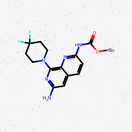 CC(C)(C)OC(=O)Nc1ccc2cc(N)nc(N3CCC(F)(F)CC3)c2n1